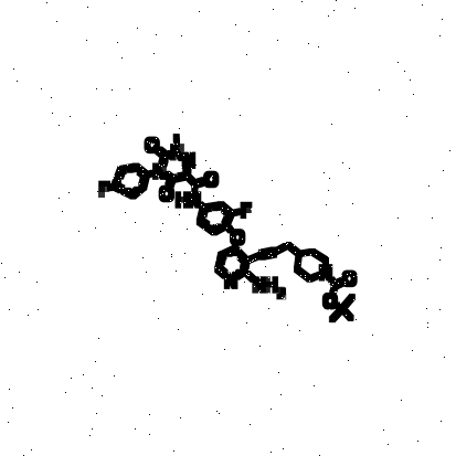 Cn1nc(C(=O)Nc2ccc(Oc3ccnc(N)c3C#CCC3CCN(C(=O)OC(C)(C)C)CC3)c(F)c2)c(=O)n(-c2ccc(F)cc2)c1=O